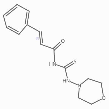 O=C(/C=C/c1ccccc1)NC(=S)NN1CCOCC1